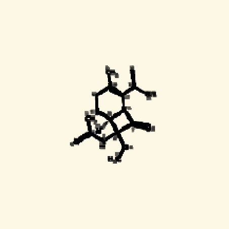 COC1(NC(C)=O)C(=O)N2C(C(=O)O)=C(C)CS[C@@H]21